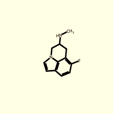 CNC1Cc2c(F)ccc3ccn(c23)C1